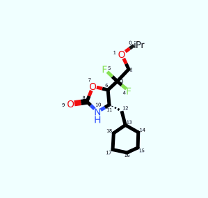 CC(C)OCC(F)(F)C1OC(=O)N[C@H]1CC1CCCCC1